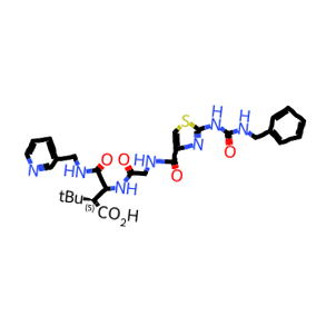 CC(C)(C)[C@H](C(=O)O)C(NC(=O)CNC(=O)c1csc(NC(=O)NCc2ccccc2)n1)C(=O)NCc1cccnc1